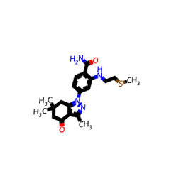 CSCCNc1cc(-n2nc(C)c3c2CC(C)(C)CC3=O)ccc1C(N)=O